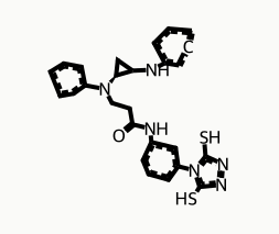 O=C(CCN(c1ccccc1)[C@H]1CC1Nc1ccccc1)Nc1cccc(-n2c(S)nnc2S)c1